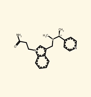 C[C@@H](c1ccncc1)N(C)Cc1cn(CCC(N)=O)c2ccccc12